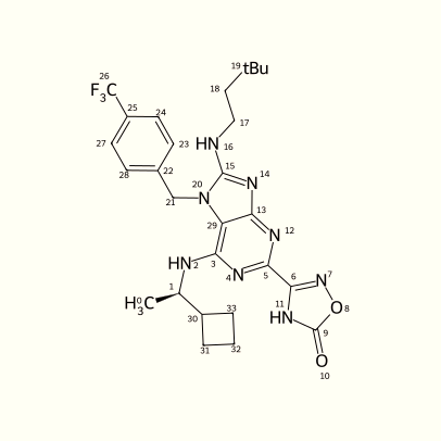 C[C@@H](Nc1nc(-c2noc(=O)[nH]2)nc2nc(NCCC(C)(C)C)n(Cc3ccc(C(F)(F)F)cc3)c12)C1CCC1